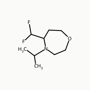 CC(C)N1CCOCCC1C(F)F